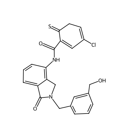 O=C(Nc1cccc2c1CN(Cc1cccc(CO)c1)C2=O)C1=CC(Cl)=CCC1=S